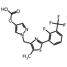 Cc1sc(-c2cccc(C(F)(F)F)c2F)nc1Cn1cc(OC(=O)O)cn1